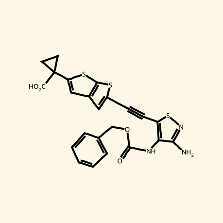 Nc1nsc(C#Cc2cc3cc(C4(C(=O)O)CC4)sc3s2)c1NC(=O)OCc1ccccc1